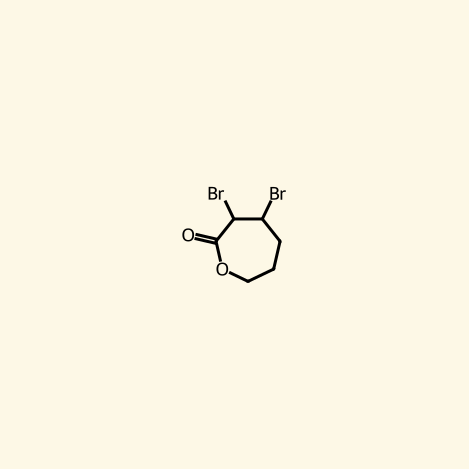 O=C1OCCCC(Br)C1Br